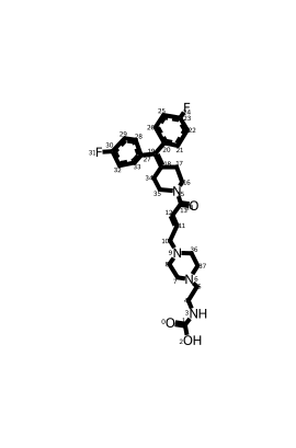 O=C(O)NCCN1CCN(C/C=C/C(=O)N2CCC(=C(c3ccc(F)cc3)c3ccc(F)cc3)CC2)CC1